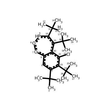 CC(C)(C)c1cc2oo[pH]c(C(C)(C)C)c(C(C)(C)C)c2c(Cl)c1C(C)(C)C